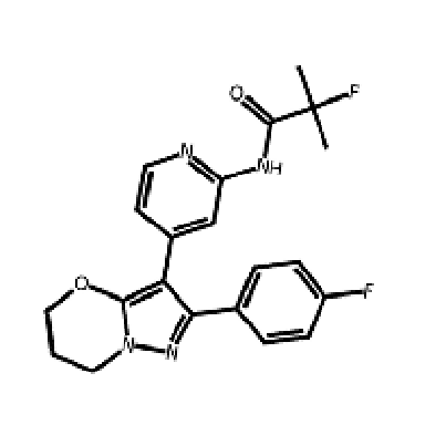 CC(C)(F)C(=O)Nc1cc(-c2c(-c3ccc(F)cc3)nn3c2OCCC3)ccn1